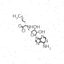 CSCC[C@H](NC[C@H]1O[C@@H](n2cnc3c(N)ncnc32)[C@H](O)[C@@H]1O)C(=O)Cl